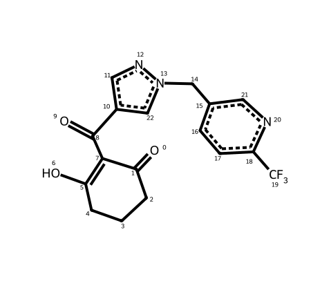 O=C1CCCC(O)=C1C(=O)c1cnn(Cc2ccc(C(F)(F)F)nc2)c1